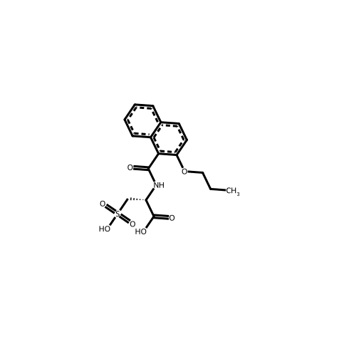 CCCOc1ccc2ccccc2c1C(=O)N[C@@H](CS(=O)(=O)O)C(=O)O